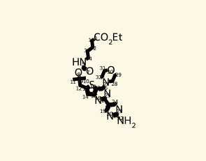 CCOC(=O)CCCCNC(=O)OC(C)(C)Cc1cc2nc(-c3cnc(N)nc3)nc(N3CCOCC3)c2s1